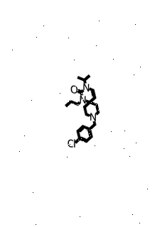 CCCN1C(=O)N(C(C)C)C=CC12CCN(Cc1ccc(Cl)cc1)CC2